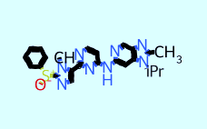 Cc1nc2cnc(Nc3ccnc(-c4cnc([S+]([O-])c5ccccc5)n4C)n3)cc2n1C(C)C